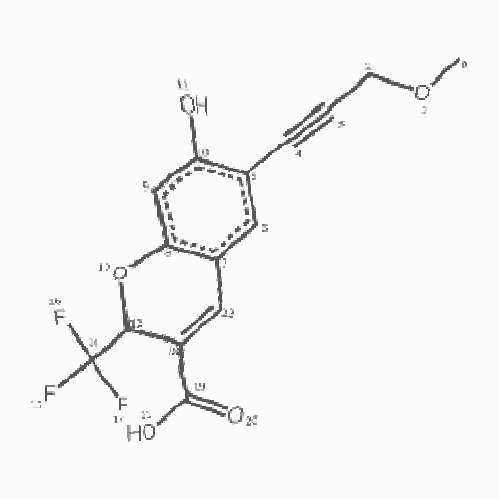 COCC#Cc1cc2c(cc1O)OC(C(F)(F)F)C(C(=O)O)=C2